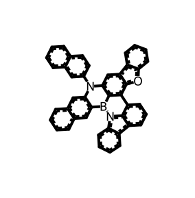 c1ccc2cc(N3c4cc5ccccc5cc4B4c5c3cc3c(oc6ccccc63)c5-c3cccc5c6ccccc6n4c35)ccc2c1